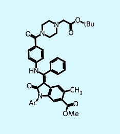 COC(=O)c1cc2c(cc1C)/C(=C(/Nc1ccc(C(=O)N3CCN(CC(=O)OC(C)(C)C)CC3)cc1)c1ccccc1)C(=O)N2C(C)=O